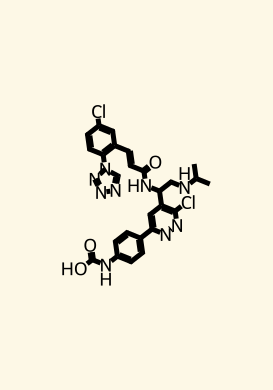 CC(C)NCC(NC(=O)C=Cc1cc(Cl)ccc1-n1cnnn1)c1cc(-c2ccc(NC(=O)O)cc2)nnc1Cl